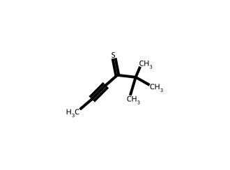 CC#CC(=S)C(C)(C)C